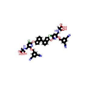 CC(CO)(NCc1cc(Cl)c(O[C@H]2CCc3c(-c4cccc5c4CC[C@@H]5Oc4nc(OCc5cc(C#N)cc(C#N)c5)c(CNC(C)(CO)C(=O)O)cc4Cl)cccc32)nc1OCc1cc(C#N)cc(C#N)c1)C(=O)O